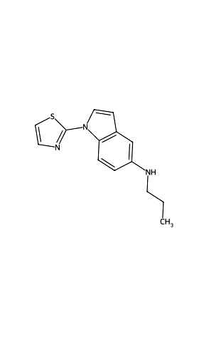 CCCNc1ccc2c(ccn2-c2nccs2)c1